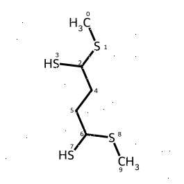 CSC(S)CCC(S)SC